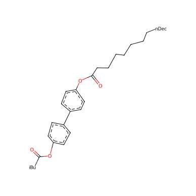 CCCCCCCCCCCCCCCCCC(=O)Oc1ccc(-c2ccc(OC(=O)C(C)CC)cc2)cc1